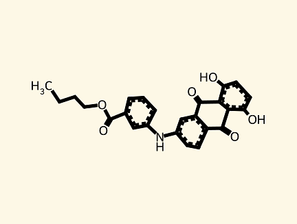 CCCCOC(=O)c1cccc(Nc2ccc3c(c2)C(=O)c2c(O)ccc(O)c2C3=O)c1